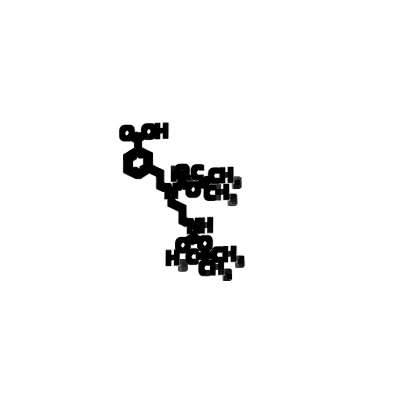 CC(C)(C)OC(=O)NCCCN(CCc1cccc(C(=O)O)c1)C(=O)OC(C)(C)C